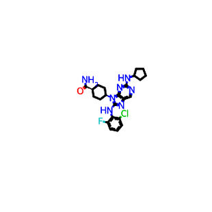 NC(=O)[C@H]1CC[C@@H](n2c(Nc3c(F)cccc3Cl)nc3cnc(NC4CCCC4)nc32)CC1